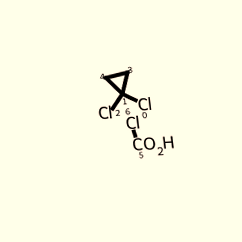 ClC1(Cl)CC1.O=C(O)Cl